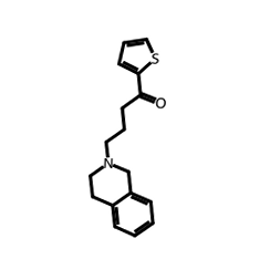 O=C(CCCN1CCc2ccccc2C1)c1cccs1